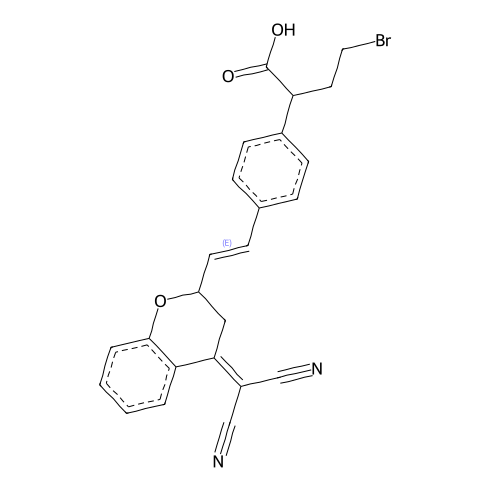 N#CC(C#N)=C1CC(/C=C/c2ccc(C(CCBr)C(=O)O)cc2)Oc2ccccc21